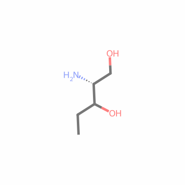 CCC(O)[C@H](N)CO